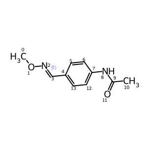 CO/N=C/c1ccc(NC(C)=O)cc1